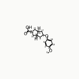 COc1ccc(OC2C[C@@H]3CN(C(=O)O)C[C@H]3C2)cc1